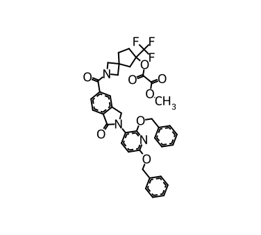 COC(=O)C(=O)OC1(C(F)(F)F)CCC2(CN(C(=O)c3ccc4c(c3)CN(c3ccc(OCc5ccccc5)nc3OCc3ccccc3)C4=O)C2)C1